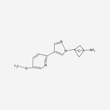 NC12CC(n3cc(-c4ccc(OC(F)(F)F)cn4)cn3)(C1)C2